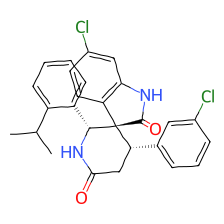 CC(C)c1ccccc1[C@H]1NC(=O)C[C@@H](c2cccc(Cl)c2)[C@]12C(=O)Nc1cc(Cl)ccc12